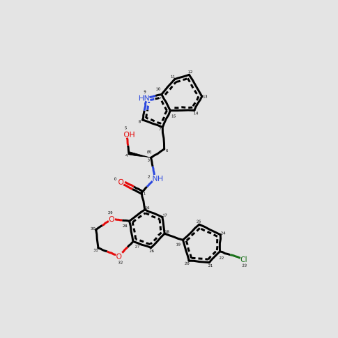 O=C(N[C@@H](CO)Cc1c[nH]c2ccccc12)c1cc(-c2ccc(Cl)cc2)cc2c1OCCO2